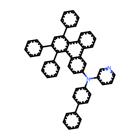 c1ccc(-c2ccc(N(c3cccnc3)c3ccc4c(c3)c3ccccc3c3c(-c5ccccc5)cc(-c5ccccc5)c(-c5ccccc5)c43)cc2)cc1